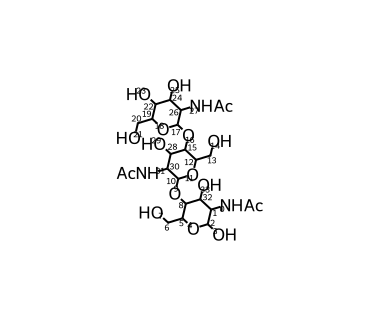 CC(=O)NC1C(O)OC(CO)C(OC2OC(CO)C(OC3OC(CO)C(O)C(O)C3NC(C)=O)C(O)C2NC(C)=O)C1O